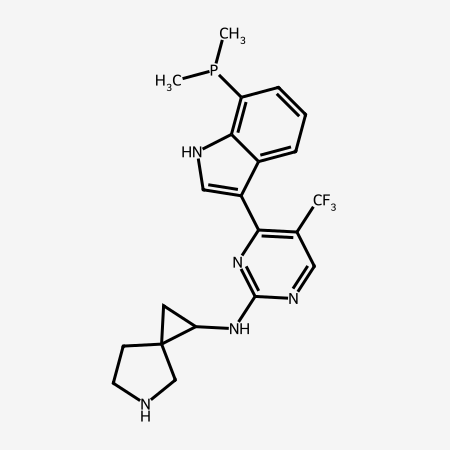 CP(C)c1cccc2c(-c3nc(NC4CC45CCNC5)ncc3C(F)(F)F)c[nH]c12